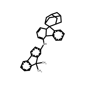 CC1(C)c2ccccc2-c2ccc(NC3=CC=CC4C3c3ccccc3C43C4CC5CC(C4)CC3C5)cc21